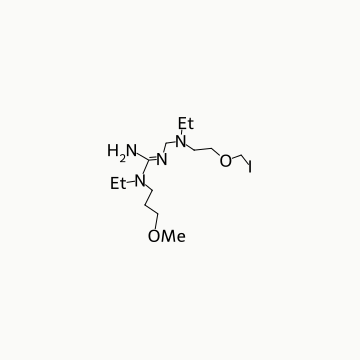 CCN(CCOCI)C/N=C(\N)N(CC)CCCOC